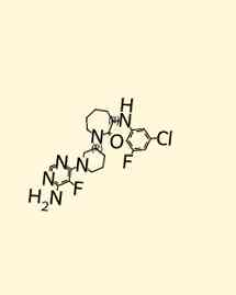 Nc1ncnc(N2CCC[C@@H](N3CCCC[C@@H](Nc4cc(F)cc(Cl)c4)C3=O)C2)c1F